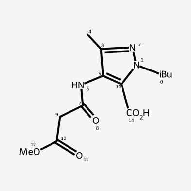 CCC(C)n1nc(C)c(NC(=O)CC(=O)OC)c1C(=O)O